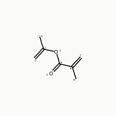 [CH2]C(=C)OC(=O)C(=C)C